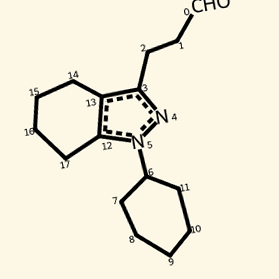 O=CCCc1nn(C2CCCCC2)c2c1CCCC2